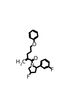 C=C(CCCOc1ccccc1)C(=O)N1CC(F)CC1c1cccc(F)c1